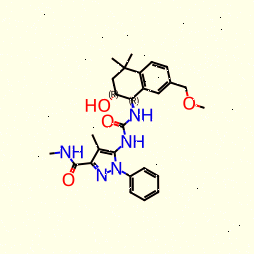 CNC(=O)c1nn(-c2ccccc2)c(NC(=O)N[C@@H]2c3cc(COC)ccc3C(C)(C)C[C@H]2O)c1C